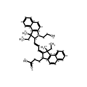 CCC1(C)/C(=C\C=C\C2N(CCO)c3ccc4ccccc4c3C2(C)CC)C(CCC(=O)O)c2ccc3ccccc3c21